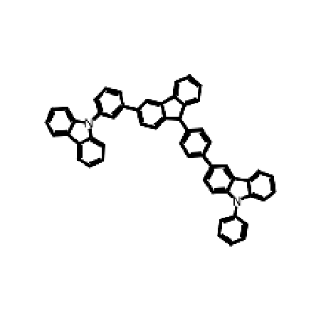 c1ccc(-n2c3ccccc3c3cc(-c4ccc(C5c6ccccc6-c6cc(-c7cccc(-n8c9ccccc9c9ccccc98)c7)ccc65)cc4)ccc32)cc1